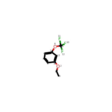 CCOc1cccc(OC(F)(F)F)c1